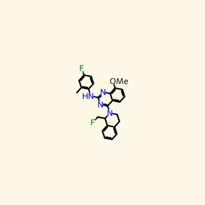 COc1cccc2c(N3CCc4ccccc4C3CF)nc(Nc3ccc(F)cc3C)nc12